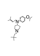 CC(C)=CCN(c1ccc(OC(C)C)cc1)C1CCN(CCC(C)(C)C)CC1